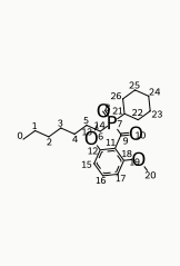 CCCCCCCP(=O)(C(=O)c1c(OC)cccc1OC)C1CCCCC1